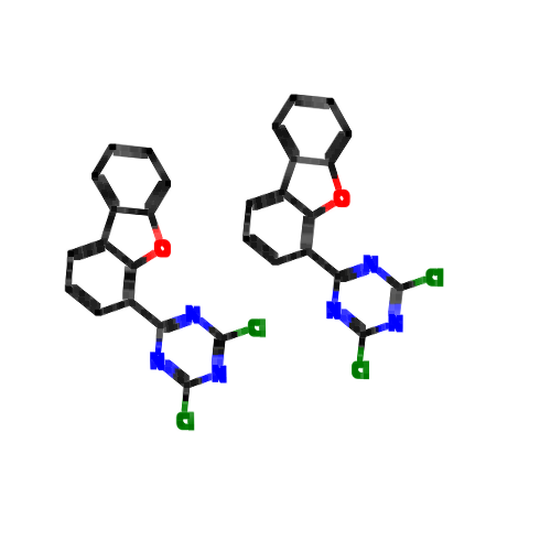 Clc1nc(Cl)nc(-c2cccc3c2oc2ccccc23)n1.Clc1nc(Cl)nc(-c2cccc3c2oc2ccccc23)n1